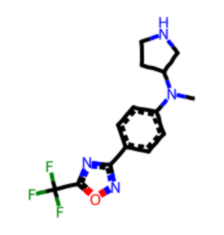 CN(c1ccc(-c2noc(C(F)(F)F)n2)cc1)C1CCNC1